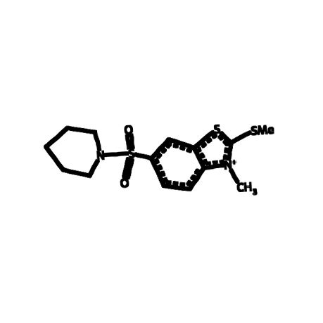 CSc1sc2cc(S(=O)(=O)N3CCCCC3)ccc2[n+]1C